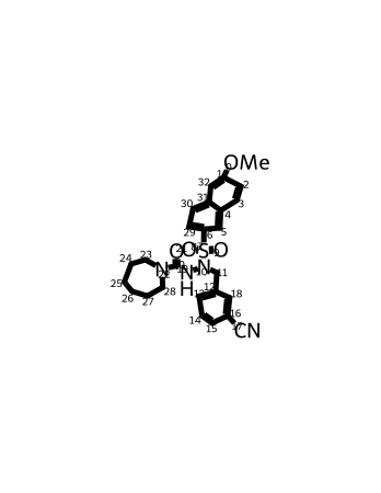 COc1ccc2cc(S(=O)(=O)N(Cc3cccc(C#N)c3)NC(=O)N3CCCCCC3)ccc2c1